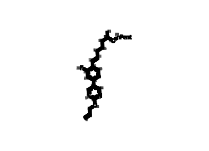 C=CCOc1ncc(-c2ccc(/C=C/CCCC(C)OCCCCC)c(F)c2)cn1